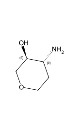 N[C@@H]1CCOC[C@H]1O